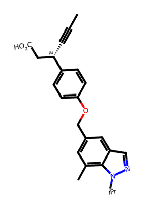 CC#C[C@@H](CC(=O)O)c1ccc(OCc2cc(C)c3c(cnn3C(C)C)c2)cc1